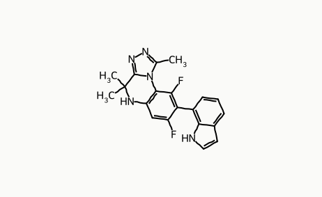 Cc1nnc2n1-c1c(cc(F)c(-c3cccc4cc[nH]c34)c1F)NC2(C)C